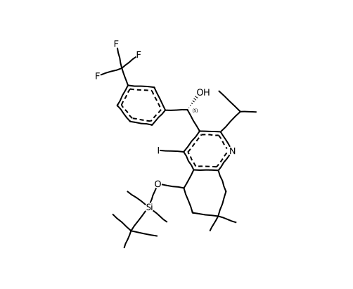 CC(C)c1nc2c(c(I)c1[C@@H](O)c1cccc(C(F)(F)F)c1)C(O[Si](C)(C)C(C)(C)C)CC(C)(C)C2